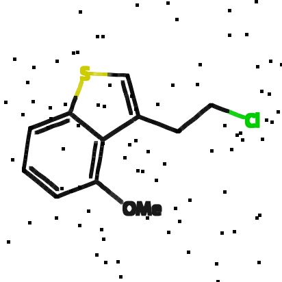 COc1cccc2scc(CCCl)c12